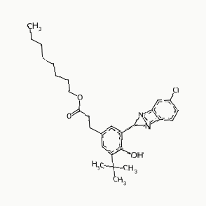 CCCCCCCCOC(=O)CCc1cc(C2n3c4ccc(Cl)cc4n32)c(O)c(C(C)(C)C)c1